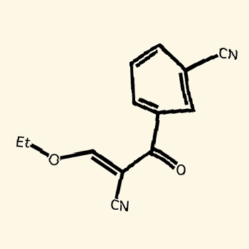 CCOC=C(C#N)C(=O)c1cccc(C#N)c1